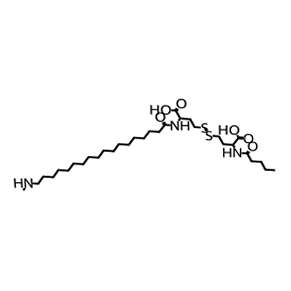 CCCCC(=O)NC(CCSSCCC(NC(=O)CCCCCCCCCCCCCCCCCNC)C(=O)O)C(=O)O